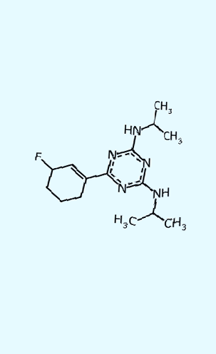 CC(C)Nc1nc(NC(C)C)nc(C2=CC(F)CCC2)n1